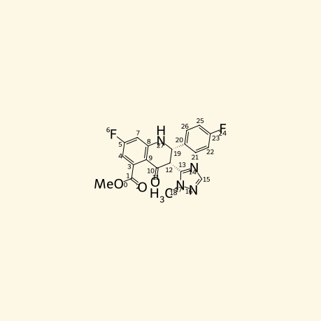 COC(=O)c1cc(F)cc2c1C(=O)[C@@H](c1ncnn1C)[C@@H](c1ccc(F)cc1)N2